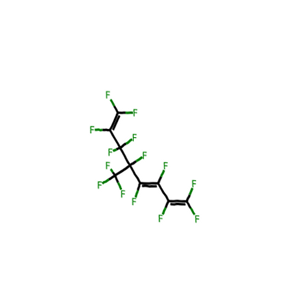 FC(F)=C(F)C(F)=C(F)C(F)(C(F)(F)F)C(F)(F)C(F)=C(F)F